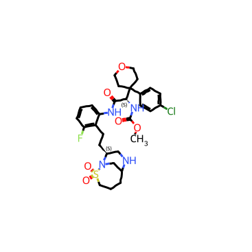 COC(=O)N[C@H](C(=O)Nc1cccc(F)c1CC[C@H]1CNC2CCCS(=O)(=O)N1C2)C1(c2ccc(Cl)cc2)CCOCC1